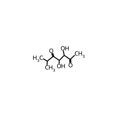 CC(=O)C(O)C(O)C(=O)C(C)C